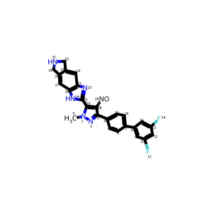 Cn1nc(-c2ccc(-c3cc(F)cc(F)c3)cc2)c(N=O)c1-c1nc2cc3c(cc2[nH]1)CNC3